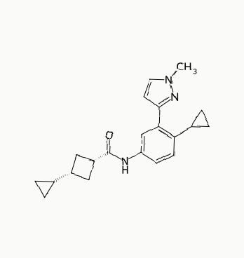 Cn1ccc(-c2cc(NC(=O)[C@H]3C[C@@H](C4CC4)C3)ccc2C2CC2)n1